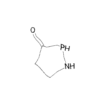 O=C1CCNP1